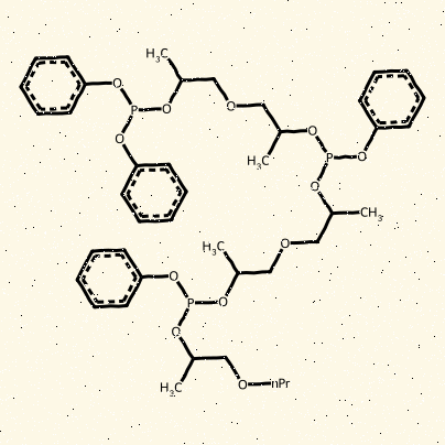 C[CH]COCC(C)OP(Oc1ccccc1)OC(C)COCC(C)OP(Oc1ccccc1)OC(C)COCC(C)OP(Oc1ccccc1)Oc1ccccc1